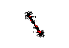 O=C(CCCCCCC(=O)Nc1ccc(S[C@@H]2O[C@H](CO)[C@@H](O[C@@H]3O[C@H](CO)[C@@H](O)[C@H](O)[C@H]3O)[C@H](O)[C@H]2O)cc1)Nc1ccc(S[C@@H]2O[C@H](CO)[C@@H](O[C@@H]3O[C@H](CO)[C@@H](O)[C@H](O)[C@H]3O)[C@H](O)[C@H]2O)cc1